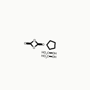 C1CCCC1.O=C(O)O.O=C(O)O.O=C1OC(=O)O1